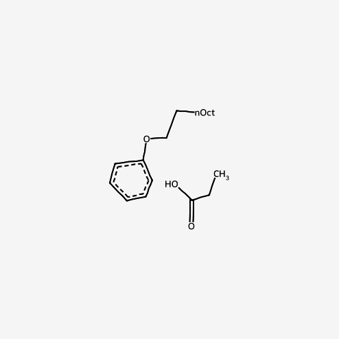 CCC(=O)O.CCCCCCCCCCOc1ccccc1